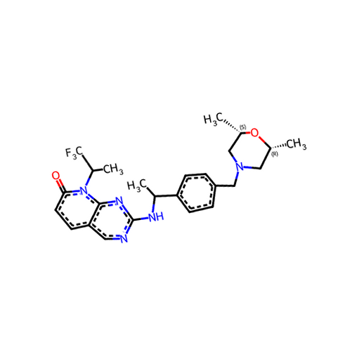 CC(Nc1ncc2ccc(=O)n(C(C)C(F)(F)F)c2n1)c1ccc(CN2C[C@@H](C)O[C@@H](C)C2)cc1